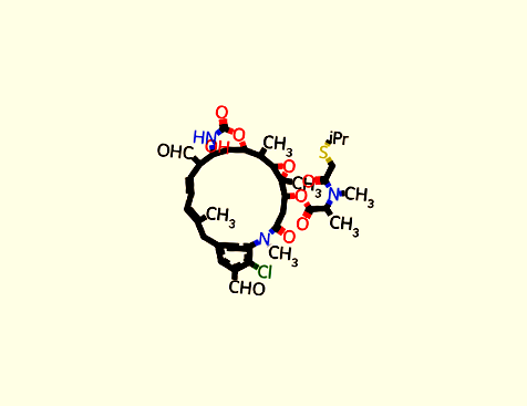 C/C1=C\C=C\C(C=O)C2(O)CC(OC(=O)N2)C(C)C2OC2(C)C(OC(=O)C(C)N(C)C(=O)CSC(C)C)CC(=O)N(C)c2cc(cc(C=O)c2Cl)C1